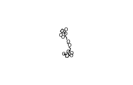 O=C(CCOCOCCC(=O)ON1C(=O)CCC1=O)ON1C(=O)CCC1=O